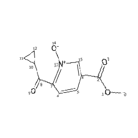 COC(=O)c1ccc(C(=O)C2CC2)[n+]([O-])c1